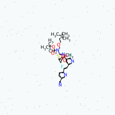 CC(C)(C)OC(=O)N(COCC[Si](C)(C)C)C1=NC(C)(c2cc(C=C(F)c3ccc(C#N)cn3)cnc2F)C2CC2(C(=O)O)S1